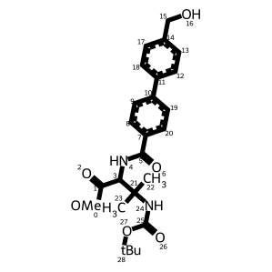 COC(=O)C(NC(=O)c1ccc(-c2ccc(CO)cc2)cc1)C(C)(C)NC(=O)OC(C)(C)C